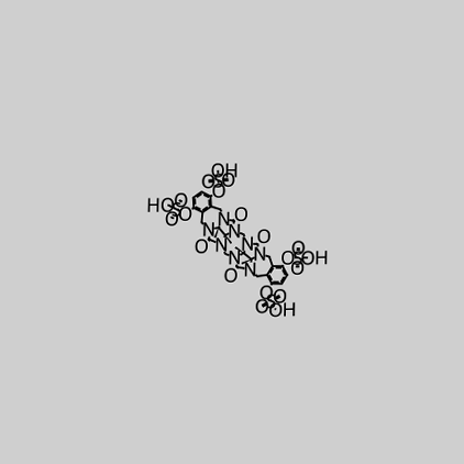 C[C@]12N3Cc4c(OS(=O)(=O)O)ccc(OS(=O)(=O)O)c4CN1C(=O)N1CN4C(=O)N5Cc6c(OS(=O)(=O)O)ccc(OS(=O)(=O)O)c6CN6C(=O)N(CN(C3=O)[C@]12C)[C@]4(C)[C@@]56C